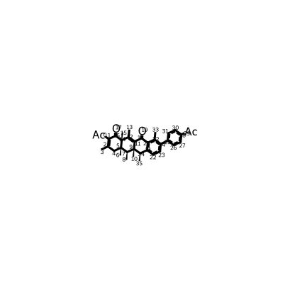 CC(=O)C1=C(C)C[C@@]2(C)[C@H](C)[C@]3(C)C(=C(C)[C@@]2(C)C1=O)C(=O)c1c(ccc(-c2ccc(C(C)=O)cc2)c1C)[C@H]3C